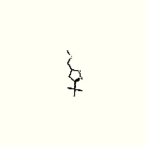 COCC1CC(C(C)(C)C)=NO1